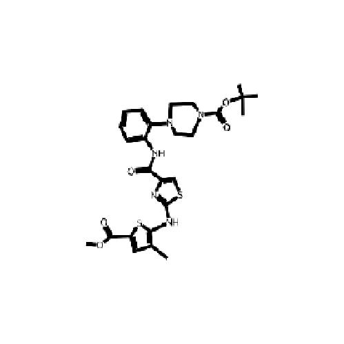 COC(=O)c1cc(C)c(Nc2nc(C(=O)Nc3ccccc3N3CCN(C(=O)OC(C)(C)C)CC3)cs2)s1